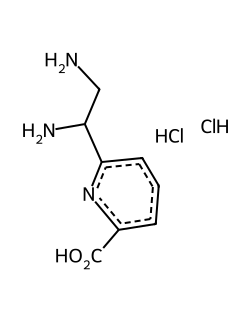 Cl.Cl.NCC(N)c1cccc(C(=O)O)n1